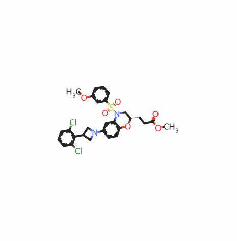 COC(=O)CC[C@H]1CN(S(=O)(=O)c2cccc(OC)c2)c2cc(N3CC(c4c(Cl)cccc4Cl)C3)ccc2O1